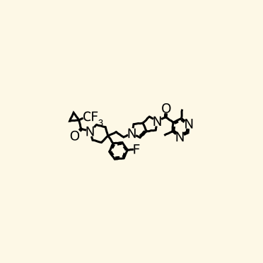 Cc1ncnc(C)c1C(=O)N1CC2=CN(CCC3(c4cccc(F)c4)CCN(C(=O)C4(C(F)(F)F)CC4)CC3)CC2C1